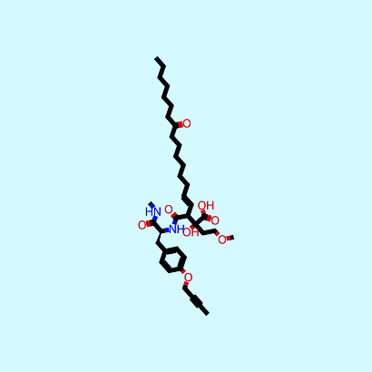 CC#CCOc1ccc(C[C@H](NC(=O)C(C=CCCCCCCC(=O)CCCCCCC)C(O)(CCOC)C(=O)O)C(=O)NC)cc1